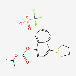 CC(C)OC(=O)Oc1ccc([S+]2CCCC2)c2ccccc12.O=S(=O)([O-])C(F)(F)F